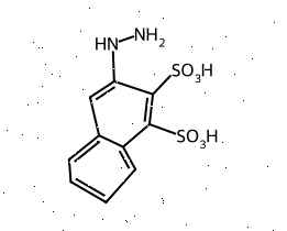 NNc1cc2ccccc2c(S(=O)(=O)O)c1S(=O)(=O)O